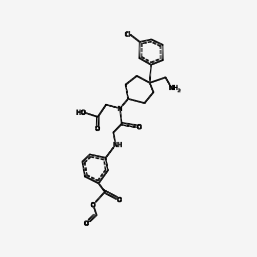 NCC1(c2cccc(Cl)c2)CCC(N(CC(=O)O)C(=O)CNc2cccc(C(=O)OC=O)c2)CC1